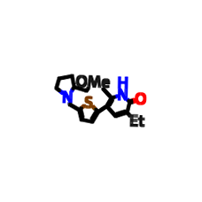 CCc1cc(-c2ccc(CN3CCCC3COC)s2)c(C)[nH]c1=O